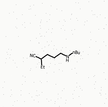 CCCCNCCCC(C#N)CC